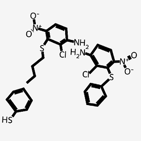 CCCCSc1c([N+](=O)[O-])ccc(N)c1Cl.Nc1ccc([N+](=O)[O-])c(Sc2ccccc2)c1Cl.Sc1ccccc1